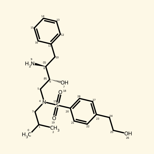 CC(C)CN(C[C@@H](O)[C@@H](N)Cc1ccccc1)S(=O)(=O)c1ccc(CCO)cc1